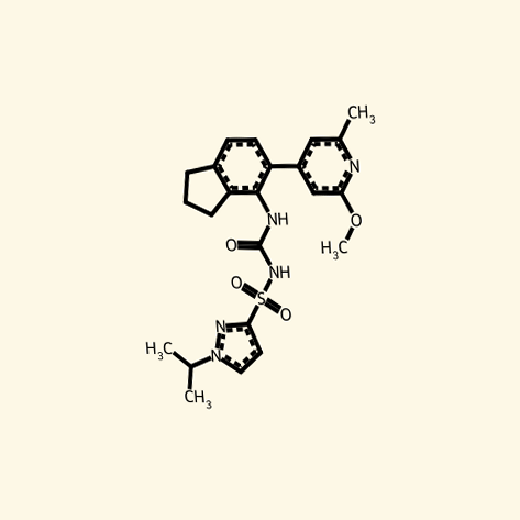 COc1cc(-c2ccc3c(c2NC(=O)NS(=O)(=O)c2ccn(C(C)C)n2)CCC3)cc(C)n1